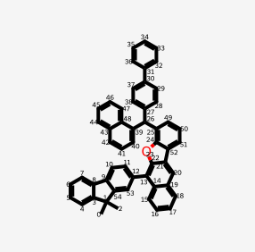 CC1(C)c2ccccc2-c2ccc(-c3c4ccccc4cc4c3oc3c(C(c5ccc(-c6ccccc6)cc5)c5cccc6ccccc56)cccc34)cc21